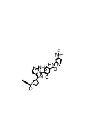 CC#CC(=O)N1CCC(c2nc(-c3ccc(C(=O)Nc4cc(C(F)(F)F)ccn4)cc3Cl)n3c(N)nccc23)C1